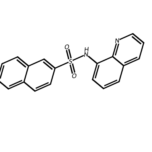 O=S(=O)(Nc1cccc2cccnc12)c1ccc2ccccc2c1